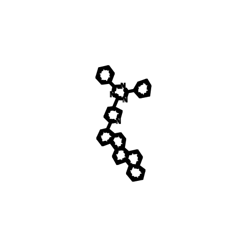 c1ccc(-c2nc(-c3ccccc3)nc(-c3ccc(-c4cccc5c4ccc4c5ccc5c6ccccc6ccc54)nc3)n2)cc1